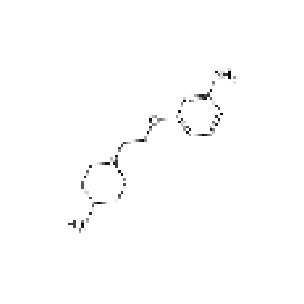 CC1CCN(CCOc2cccc(N)c2)CC1